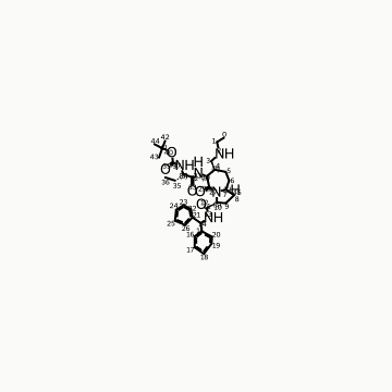 CCNC[C@H]1CC[C@H]2CC[C@@H](C(=O)NC(c3ccccc3)c3ccccc3)N2C(=O)[C@H]1NC(=O)[C@H](CC)NC(=O)OC(C)(C)C